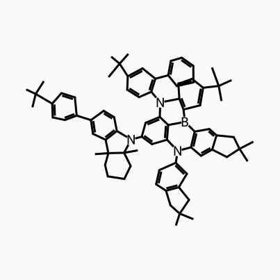 CC1(C)Cc2ccc(N3c4cc5c(cc4B4c6cc(C(C)(C)C)ccc6N(c6ccc(C(C)(C)C)cc6-c6ccccc6)c6cc(N7c8ccc(-c9ccc(C(C)(C)C)cc9)cc8C8(C)CCCCC78C)cc3c64)CC(C)(C)C5)cc2C1